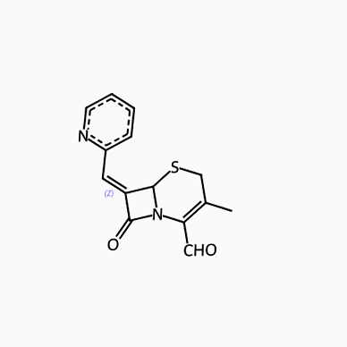 CC1=C(C=O)N2C(=O)/C(=C/c3ccccn3)C2SC1